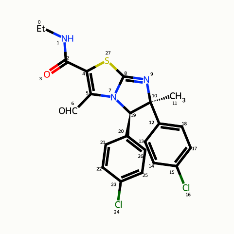 CCNC(=O)C1=C(C=O)N2C(=N[C@@](C)(c3ccc(Cl)cc3)[C@H]2c2ccc(Cl)cc2)S1